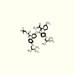 CC(COc1cccc([C@H]2CC[C@H](C)CN2C(=O)C(N)=O)c1)N(C)C.C[C@H]1CC[C@H](c2cccc(OC[C@@H](C)N(C)C)c2)N(C(=O)C(=O)OCC(F)(F)F)C1